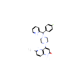 Cn1c(=O)cc(N2CCN(C(c3ccc(F)cc3)c3ccccn3)CC2)c2nc(C#N)ccc21